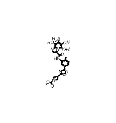 Bc1c(O)c(O)n2c(C(=O)Nc3cc(-c4noc(C5CN(C(=O)OC)C5)n4)ccc3C)cnc2c1O